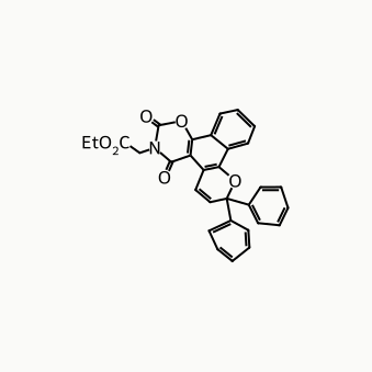 CCOC(=O)Cn1c(=O)oc2c(c3c(c4ccccc42)OC(c2ccccc2)(c2ccccc2)C=C3)c1=O